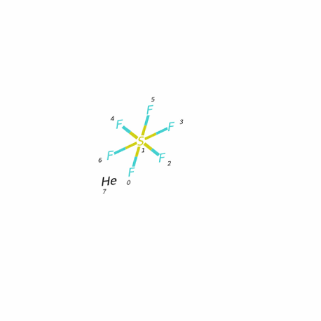 FS(F)(F)(F)(F)F.[He]